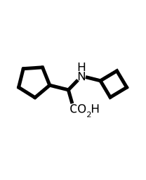 O=C(O)C(NC1CCC1)C1CCCC1